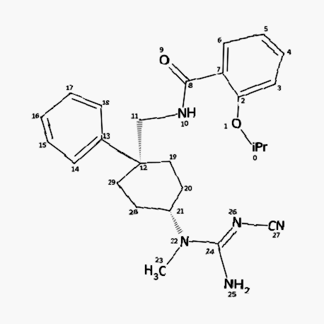 CC(C)Oc1ccccc1C(=O)NC[C@]1(c2ccccc2)CC[C@H](N(C)C(N)=NC#N)CC1